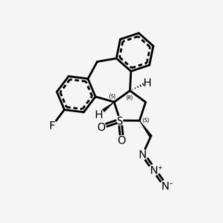 [N-]=[N+]=NC[C@@H]1C[C@@H]2c3ccccc3Cc3ccc(F)cc3[C@H]2S1(=O)=O